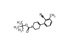 Cc1cccc(C2=CCN(C(=O)OC(C)(C)C)CC2)c1C#N